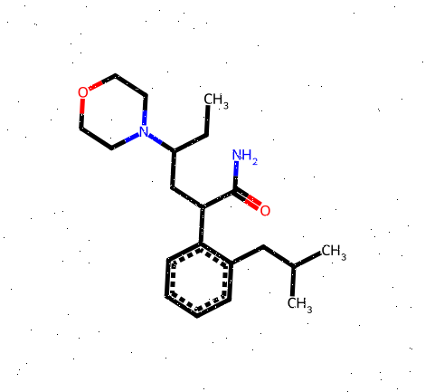 CCC(CC(C(N)=O)c1ccccc1CC(C)C)N1CCOCC1